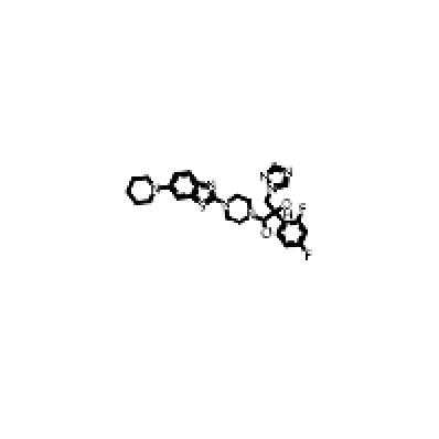 CC(N1CCN(c2nc3ccc(N4CCCCC4)cc3s2)CC1)C(O)(Cn1cncn1)c1ccc(F)cc1F